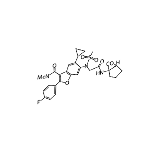 CNC(=O)c1c(-c2ccc(F)cc2)oc2cc(N(CC(=O)NC3(C(=O)O)CCCC3)S(C)(=O)=O)c(C3CC3)cc12